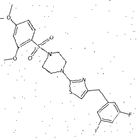 COc1ccc(S(=O)(=O)N2CCN(c3nc(Cc4cc(F)cc(F)c4)cs3)CC2)c(OC)c1